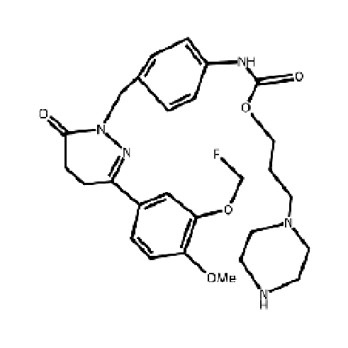 COc1ccc(C2=NN(Cc3ccc(NC(=O)OCCCN4CCNCC4)cc3)C(=O)CC2)cc1OCF